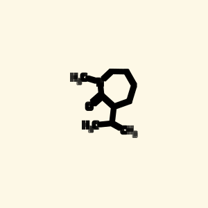 CC(C)C1CCCCN(C)C1=O